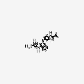 Cc1cc(NC2=CN(Sc3ccc(NC(=O)C4CC4)cc3)Cc3ncnn32)n[nH]1